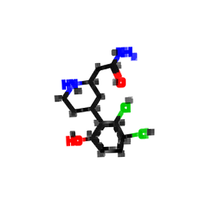 NC(=O)CC1CC(c2c(O)ccc(Cl)c2Cl)CCN1